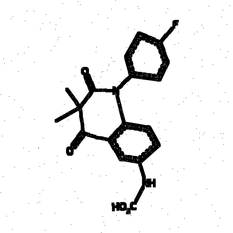 CC1(C)C(=O)c2cc(NC(=O)O)ccc2N(c2ccc(F)cc2)C1=O